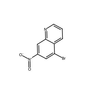 O=[N+]([O-])c1cc(Br)c2cccnc2c1